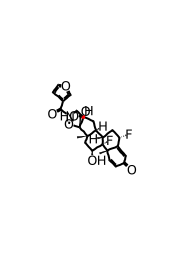 C[C@]12C=CC(=O)C=C1[C@@H](F)C[C@H]1[C@@H]3C[C@H]4CN(C(=O)c5ccoc5)O[C@@]4(C(=O)O)[C@@]3(C)C[C@H](O)[C@@]12F